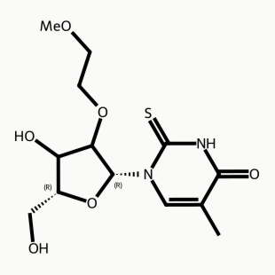 COCCOC1C(O)[C@@H](CO)O[C@H]1n1cc(C)c(=O)[nH]c1=S